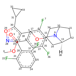 COC(=O)c1cc(F)c(N2C3CC[C@H]2CC(OCc2c(-c4c(F)cccc4F)noc2C2CC2)C3)c(F)c1